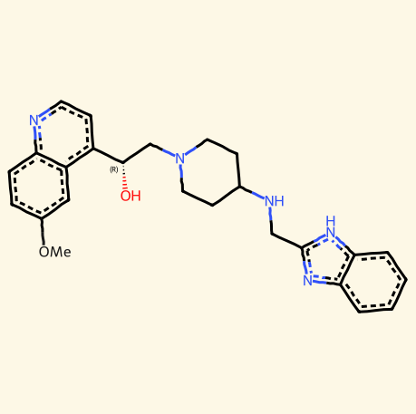 COc1ccc2nccc([C@@H](O)CN3CCC(NCc4nc5ccccc5[nH]4)CC3)c2c1